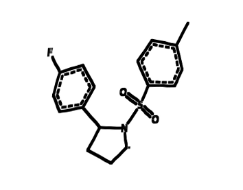 Cc1ccc(S(=O)(=O)N2[CH]CCC2c2ccc(F)cc2)cc1